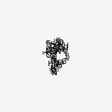 C=C(O[C@@H]1CC2C(=O)N[C@]3(C(=O)NS(=O)(=O)C4CC4)C[C@H]3/C=C\CCCCC[C@H](NC(=O)c3cnccn3)C(=O)N2C1)N1Cc2cccc(F)c2C1